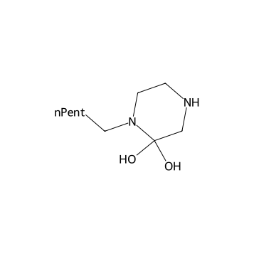 CCCCCCN1CCNCC1(O)O